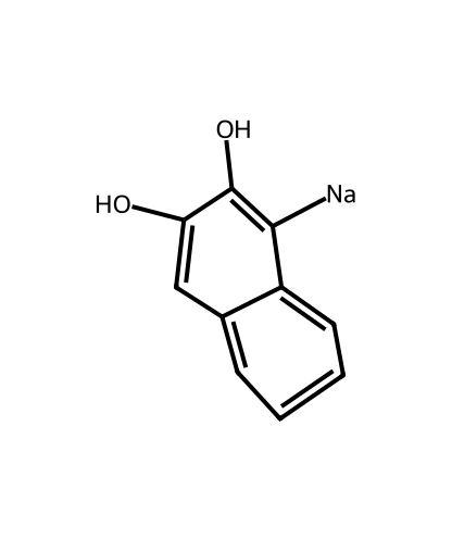 Oc1cc2ccccc2[c]([Na])c1O